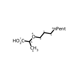 CCCCCCCCO[C](C)C(=O)O